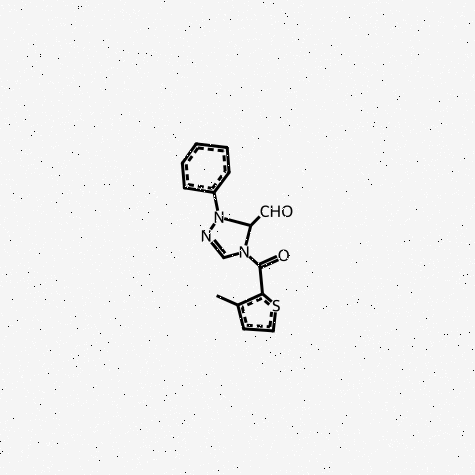 Cc1ccsc1C(=O)N1C=NN(c2ccccc2)C1C=O